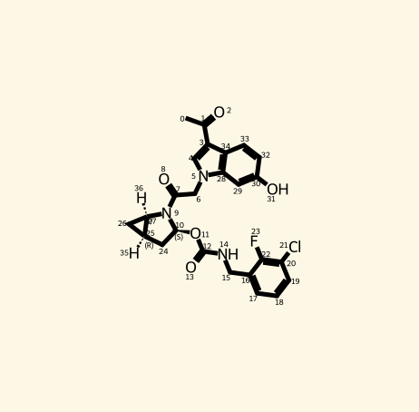 CC(=O)c1cn(CC(=O)N2[C@@H](OC(=O)NCc3cccc(Cl)c3F)C[C@H]3C[C@H]32)c2cc(O)ccc12